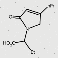 CCCC1=CC(=O)N(C(CC)C(=O)O)C1